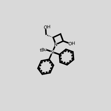 CC(C)(C)[Si](c1ccccc1)(c1ccccc1)N1C(O)C[C@H]1CO